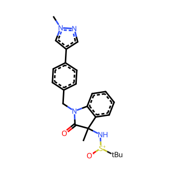 Cn1cc(-c2ccc(CN3C(=O)C(C)(N[S+]([O-])C(C)(C)C)c4ccccc43)cc2)cn1